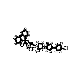 O=C(NCC(F)(F)F)C1(CCCCN2CCN(c3ccc(-c4ccc(Cl)cc4)cc3)CC2)c2ccccc2-c2ccccc21